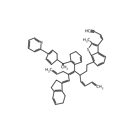 C#C/C=C\c1c(C)sc2c(CCC(/C=C\C=C)/C(C3=C(C(=C)C4C=CC(c5ccccn5)=CC4)CCC=C3)=C(\C=C3/CCC4=C3CCC=C4)CC=C)cccc12